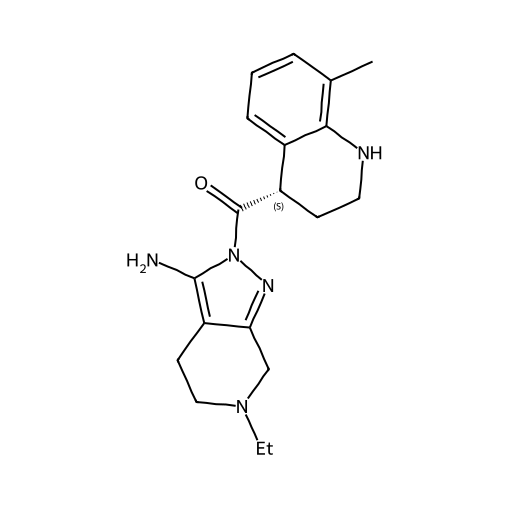 CCN1CCc2c(nn(C(=O)[C@H]3CCNc4c(C)cccc43)c2N)C1